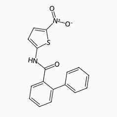 O=C(Nc1ccc([N+](=O)[O-])s1)c1ccccc1-c1ccccc1